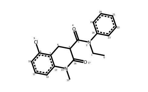 CCN(C(=O)C1Cc2c(Cl)cccc2N(C)C1=O)c1ccccc1